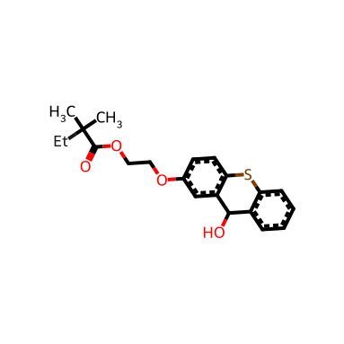 CCC(C)(C)C(=O)OCCOc1ccc2c(c1)C(O)c1ccccc1S2